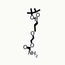 CC1(C)OB(C=CCOCCOC(N)=O)OC1(C)C